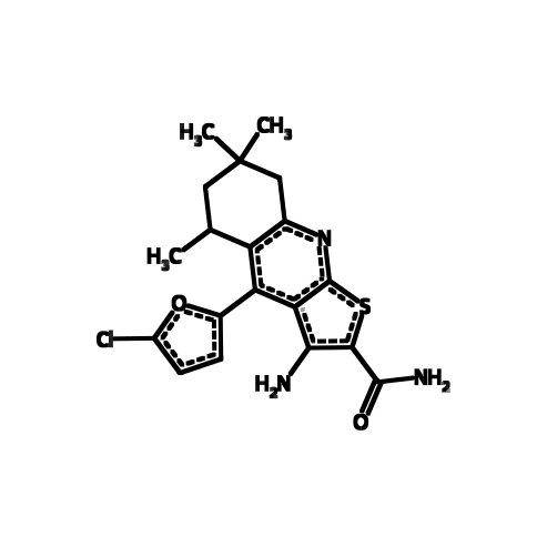 CC1CC(C)(C)Cc2nc3sc(C(N)=O)c(N)c3c(-c3ccc(Cl)o3)c21